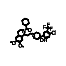 COc1cc2c(cc1OC)C(CCN1CCC(O)(c3ccc(Cl)c(C(F)(F)F)c3)CC1)N(C(=O)C1CCCCC1)CC2